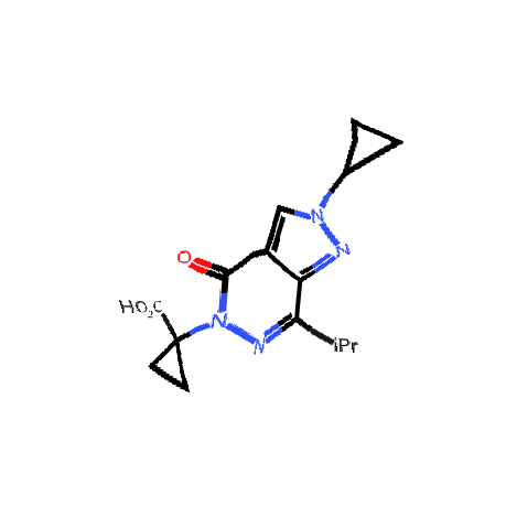 CC(C)c1nn(C2(C(=O)O)CC2)c(=O)c2cn(C3CC3)nc12